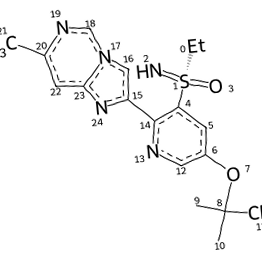 CC[S@](=N)(=O)c1cc(OC(C)(C)C#N)cnc1-c1cn2cnc(C(F)(F)F)cc2n1